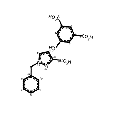 Cc1cc(C(=O)O)cc(C(=O)O)c1.O=C(O)c1ccn(Cc2ccccc2)n1